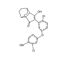 CCc1ccc(Oc2ccc(N=O)c(Cl)c2)cc1C1=C(O)C2C3CCC(CC3)C2C1=O